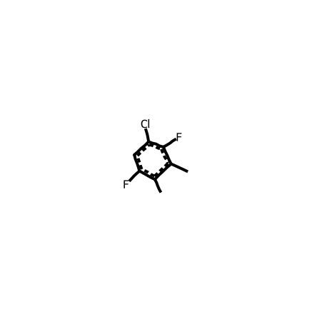 Cc1c(F)cc(Cl)c(F)c1C